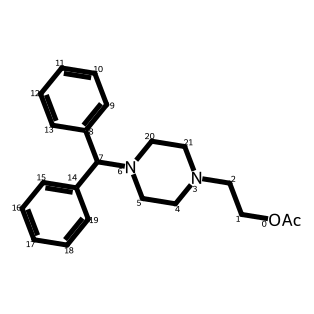 CC(=O)OCCN1CCN(C(c2ccccc2)c2ccccc2)CC1